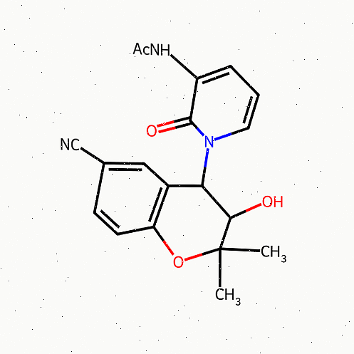 CC(=O)Nc1cccn(C2c3cc(C#N)ccc3OC(C)(C)C2O)c1=O